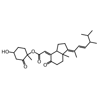 CC(/C=C/C(C)C(C)C)=C1/CCC2/C(=C/C(=O)OC3(C)CCC(O)CC3=O)C(=O)CCC12C